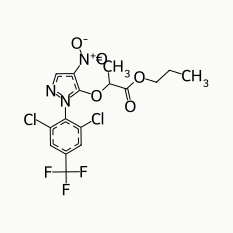 CCCOC(=O)C(C)Oc1c([N+](=O)[O-])cnn1-c1c(Cl)cc(C(F)(F)F)cc1Cl